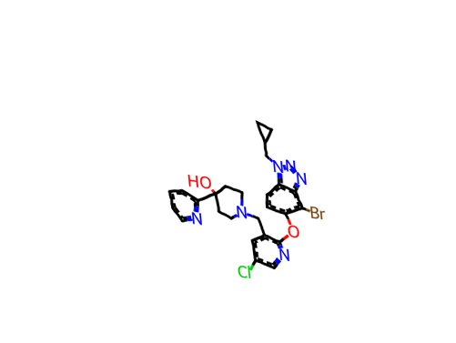 OC1(c2ccccn2)CCN(Cc2cc(Cl)cnc2Oc2ccc3c(nnn3CC3CC3)c2Br)CC1